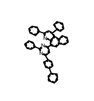 c1ccc(-c2ccc(-c3cc(-c4cc5ccccc5c5c(-c6ccccc6)cc(-c6ccccc6)nc45)nc(-c4ccccc4)n3)cc2)cc1